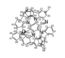 Cc1ccc2c(c1)c1ccccc1n2-c1c(C#N)c(-n2c3ccccc3c3cc(C)ccc32)c(-n2c3ccccc3c3ccc4c5ccccc5oc4c32)c(C#N)c1-n1c2ccccc2c2cc(C)ccc21